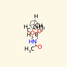 CC(=O)NCB1O[C@@H]2C[C@@H]3C[C@@H](C3(C)C)[C@]2(C)O1